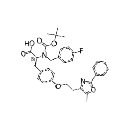 Cc1oc(-c2ccccc2)nc1CCOc1ccc(C[C@@H](C(=O)O)N(Cc2ccc(F)cc2)C(=O)OC(C)(C)C)cc1